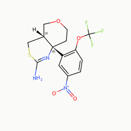 NC1=N[C@@]2(c3cc([N+](=O)[O-])ccc3OC(F)(F)F)CCOC[C@H]2CS1